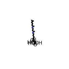 CC(C)=CCC/C(C)=C/CC/C(C)=C/CCCCOP(=O)(O)CP(=O)(O)O